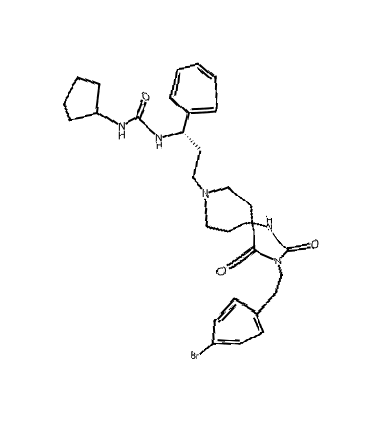 O=C(NC1CCCC1)N[C@@H](CCN1CCC2(CC1)NC(=O)N(Cc1ccc(Br)cc1)C2=O)c1ccccc1